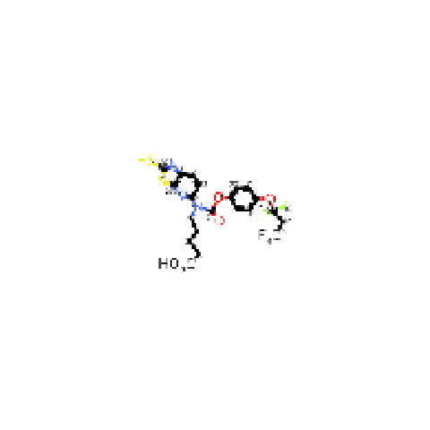 O=C(O)CCCCN(C(=O)Oc1ccc(OC(F)(F)CC(F)(F)F)cc1)c1ccc2nc(S)sc2n1